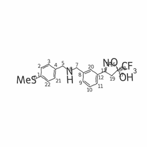 CSc1ccc(CNCc2cccc(C3=NOC(O)(C(F)(F)F)C3)c2)cc1